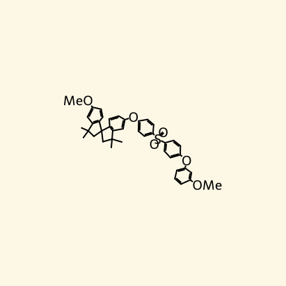 COc1cccc(Oc2ccc(S(=O)(=O)c3ccc(Oc4ccc5c(c4)C(C)(C)CC54CC(C)(C)c5cc(OC)ccc54)cc3)cc2)c1